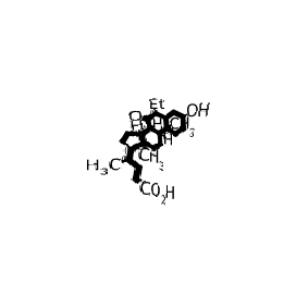 CC[C@H]1C(=O)[C@H]2[C@@H]3CC[C@H]([C@H](C)CCC(=O)O)[C@@]3(C)CC[C@@H]2[C@@]2(C)CC[C@@H](O)CC12